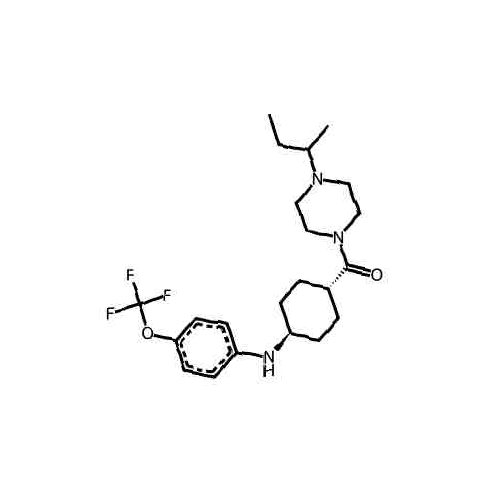 CCC(C)N1CCN(C(=O)[C@H]2CC[C@H](Nc3ccc(OC(F)(F)F)cc3)CC2)CC1